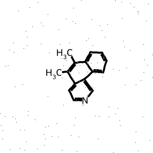 Cc1c(C)c2ccncc2c2ccccc12